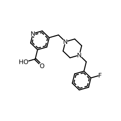 O=C(O)c1cncc(CN2CCN(Cc3ccccc3F)CC2)c1